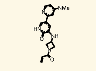 C=CC(=O)N1CC(Nc2cc(-c3cc(NC)ccn3)c[nH]c2=O)C1